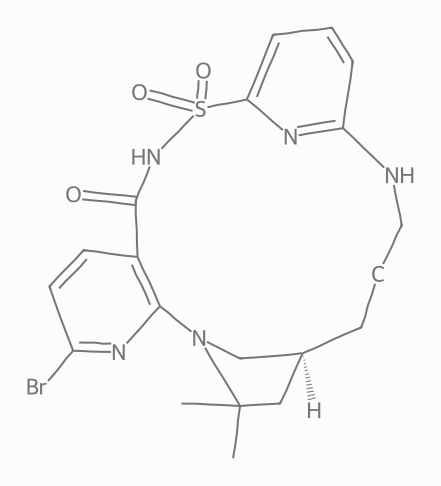 CC1(C)C[C@@H]2CCCNc3cccc(n3)S(=O)(=O)NC(=O)c3ccc(Br)nc3N1C2